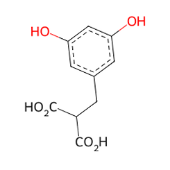 O=C(O)C(Cc1cc(O)cc(O)c1)C(=O)O